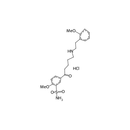 COc1ccccc1CCNCCCCC(=O)c1ccc(OC)c(S(N)(=O)=O)c1.Cl